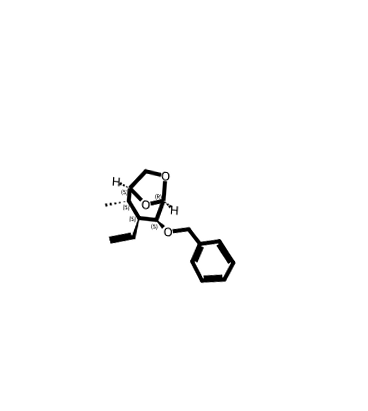 C=C[C@H]1[C@H](C)[C@H]2CO[C@H](O2)[C@H]1OCc1ccccc1